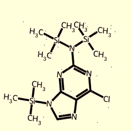 C[Si](C)(C)N(c1nc(Cl)c2ncn([Si](C)(C)C)c2n1)[Si](C)(C)C